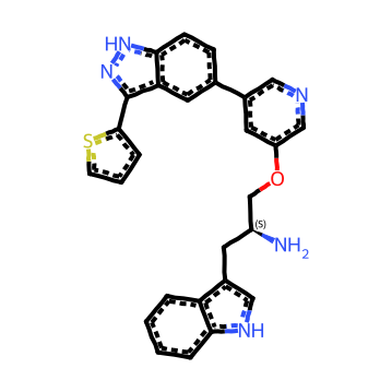 N[C@H](COc1cncc(-c2ccc3[nH]nc(-c4cccs4)c3c2)c1)Cc1c[nH]c2ccccc12